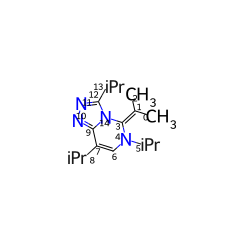 CC(C)=C1N(C(C)C)C=C(C(C)C)c2nnc(C(C)C)n21